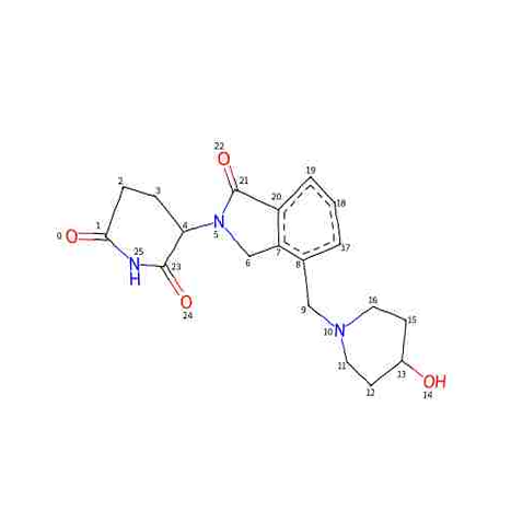 O=C1CCC(N2Cc3c(CN4CCC(O)CC4)cccc3C2=O)C(=O)N1